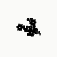 C=C(C)C(C(=O)OCc1ccc([N+](=O)[O-])cc1)N1C(=O)C(NC(=O)COc2ccccc2)C1[S+]([O-])Cl